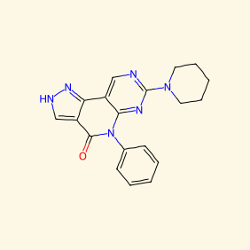 O=c1c2c[nH]nc2c2cnc(N3CCCCC3)nc2n1-c1ccccc1